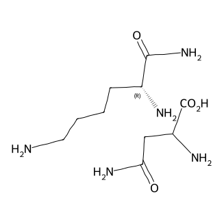 NC(=O)CC(N)C(=O)O.NCCCC[C@@H](N)C(N)=O